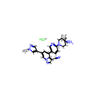 Cl.Cn1cc(-c2cc(-c3ccc(N4CCC(C)(N)CC4)nc3)c3c(C#N)cnn3c2)cn1